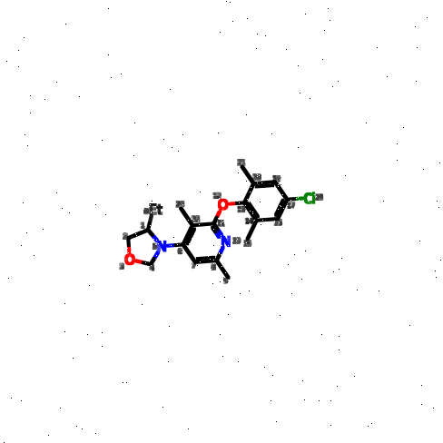 CCC1COCN1c1cc(C)nc(Oc2c(C)cc(Cl)cc2C)c1C